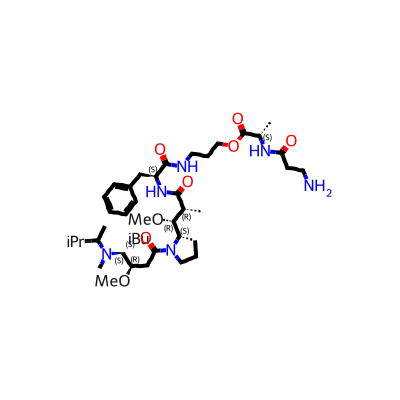 CC[C@H](C)[C@@H]([C@@H](CC(=O)N1CCC[C@H]1[C@H](OC)[C@@H](C)C(=O)N[C@@H](Cc1ccccc1)C(=O)NCCCOC(=O)[C@H](C)NC(=O)CCN)OC)N(C)C(C)C(C)C